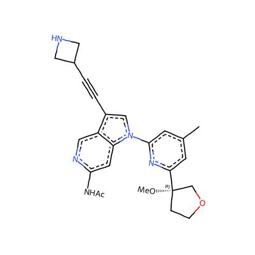 CO[C@@]1(c2cc(C)cc(-n3cc(C#CC4CNC4)c4cnc(NC(C)=O)cc43)n2)CCOC1